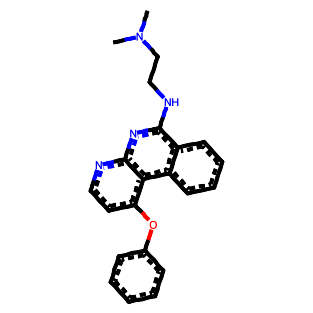 CN(C)CCNc1nc2nccc(Oc3ccccc3)c2c2ccccc12